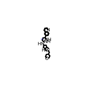 N=C(/C=C\C(=N)c1ccc2ncccc2c1)N[C@H]1CC2CN(CC3CCOCC3)C[C@@H]2C1